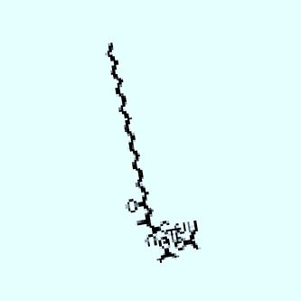 CCCCCCCCCCCCCCCCCC(=O)/C=C(\C)C(=O)[O][Ti]([OH])([O]C(C)C)[O]C(C)C